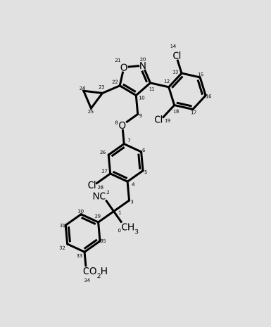 CC(C#N)(Cc1ccc(OCc2c(-c3c(Cl)cccc3Cl)noc2C2CC2)cc1Cl)c1cccc(C(=O)O)c1